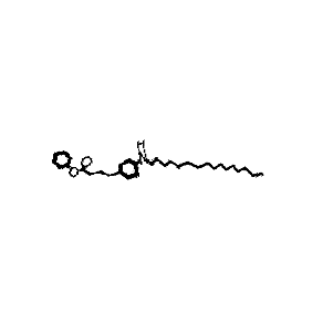 CCCCCCCCCCCCCCCCNc1ccc(CCCC(=O)Oc2ccccc2)cc1